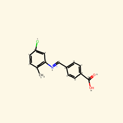 Cc1ccc(Cl)cc1/N=C/c1ccc(C(=O)O)cc1